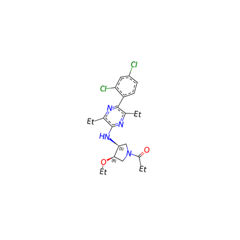 CCO[C@@H]1CN(C(=O)CC)C[C@@H]1Nc1nc(CC)c(-c2ccc(Cl)cc2Cl)nc1CC